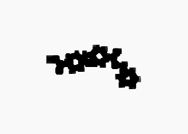 O=C(O)N1CCC(O)(CC2CCN(C(=O)OCc3ccccc3)CC2)CC1